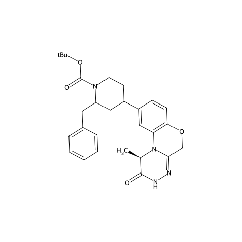 C[C@@H]1C(=O)NN=C2COc3ccc(C4CCN(C(=O)OC(C)(C)C)C(Cc5ccccc5)C4)cc3N21